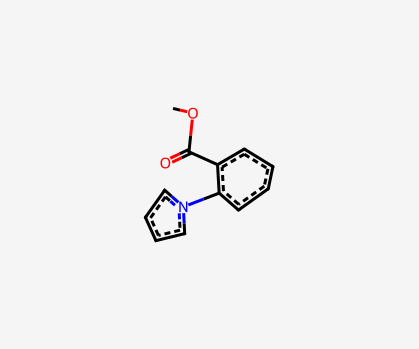 COC(=O)c1ccccc1-n1cccc1